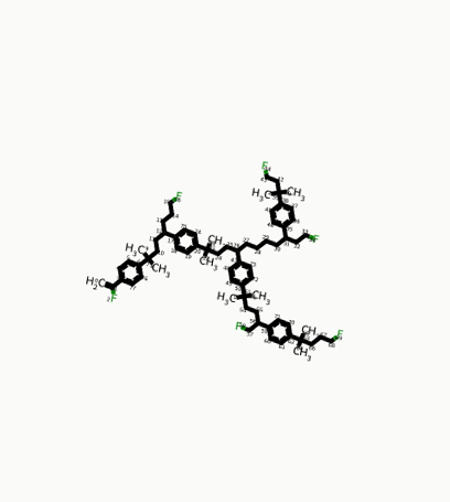 C=C(F)c1ccc(C(C)(C)CCC(CCCF)c2ccc(C(C)(C)CCC(CCCCC(CCF)c3ccc(C(C)(C)CCF)cc3)c3ccc(C(C)(C)CCC(CF)c4ccc(C(C)(C)CCCF)cc4)cc3)cc2)cc1